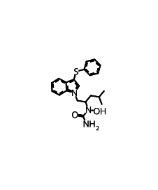 CC(C)CC(Cn1cc(Sc2ccccc2)c2ccccc21)N(O)C(N)=O